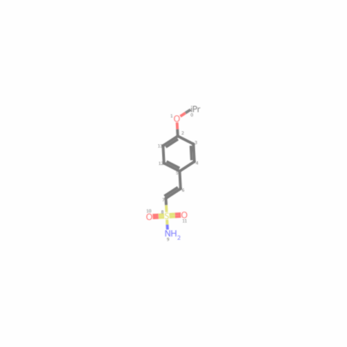 CC(C)Oc1ccc(C=CS(N)(=O)=O)cc1